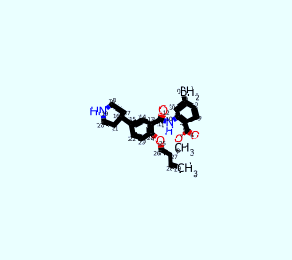 Bc1ccc(C(=O)OC)c(NC(=O)c2cc(C3CCNCC3)ccc2OCCCC)c1